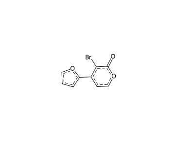 O=c1occc(-c2ccco2)c1Br